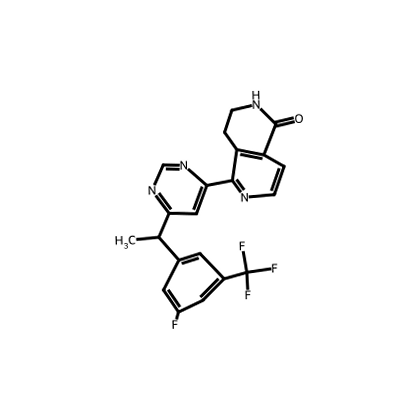 CC(c1cc(F)cc(C(F)(F)F)c1)c1cc(-c2nccc3c2CCNC3=O)ncn1